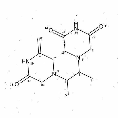 C=C1CN(C(C)C(C)N2CC(=O)NC(=O)C2)CC(=O)N1